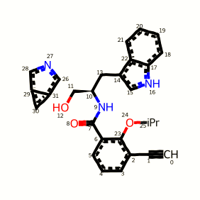 C#Cc1cccc(C(=O)N[C@@H](CO)Cc2c[nH]c3ccccc23)c1OC(C)C.c1ncc2cc1-2